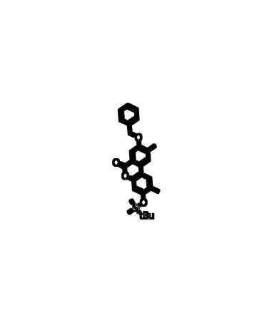 Cc1cc2c(cc1OCc1ccccc1)c(=O)oc1cc(O[Si](C)(C)C(C)(C)C)c(C)cc12